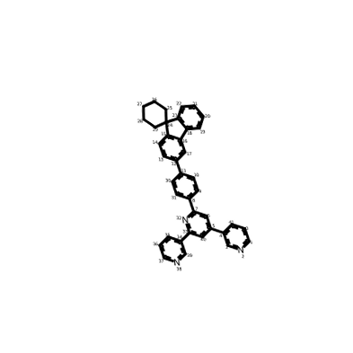 c1cncc(-c2cc(-c3ccc(-c4ccc5c(c4)-c4ccccc4C54CCCCC4)cc3)nc(-c3cccnc3)c2)c1